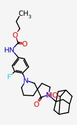 CCCOC(=O)Nc1ccc(N2CCCC3(CCN(C45CC6CC(C4)C(O)C(C6)C5)C3=O)C2)c(F)c1